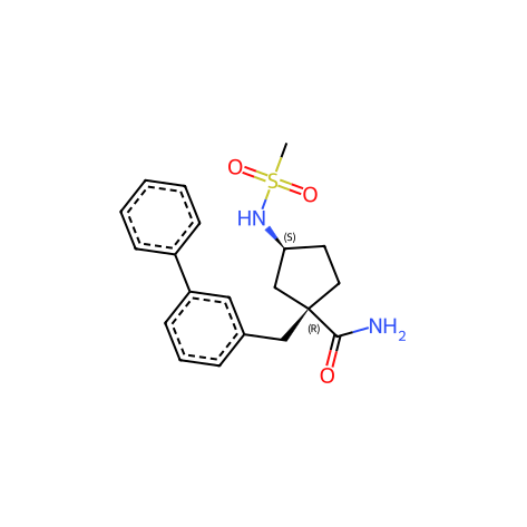 CS(=O)(=O)N[C@H]1CC[C@](Cc2cccc(-c3ccccc3)c2)(C(N)=O)C1